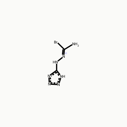 N/C(Br)=N/Nc1nnn[nH]1